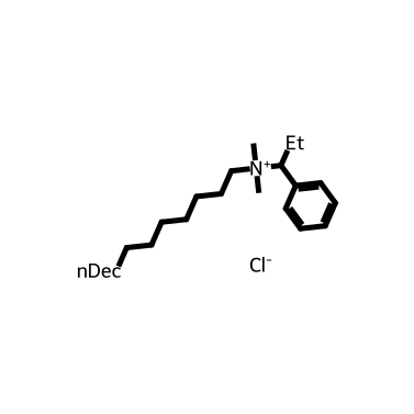 CCCCCCCCCCCCCCCCC[N+](C)(C)C(CC)c1ccccc1.[Cl-]